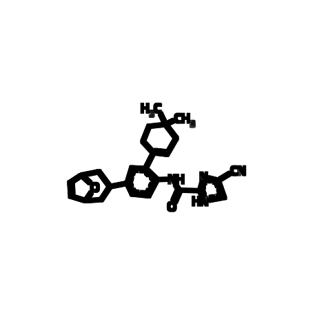 CC1(C)CC=C(c2cc(C3CC4C=CC(C3)O4)ccc2NC(=O)c2nc(C#N)c[nH]2)CC1